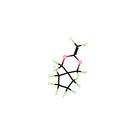 FC(F)=C1OC(F)(F)C2(C(F)(F)O1)C(F)(F)C(F)(F)C(F)(F)C2(F)F